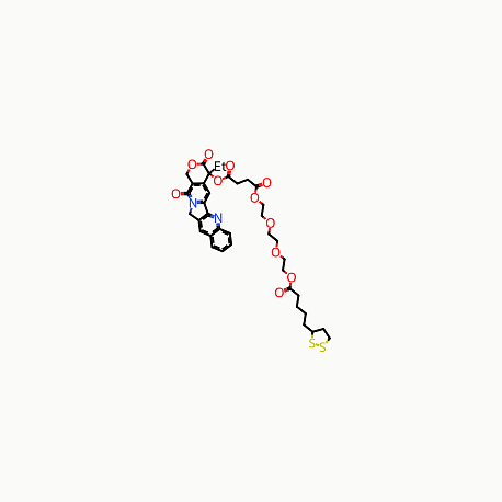 CCC1(OC(=O)CCC(=O)OCCOCCOCCOC(=O)CCCCC2CCSS2)C(=O)OCc2c1cc1n(c2=O)Cc2cc3ccccc3nc2-1